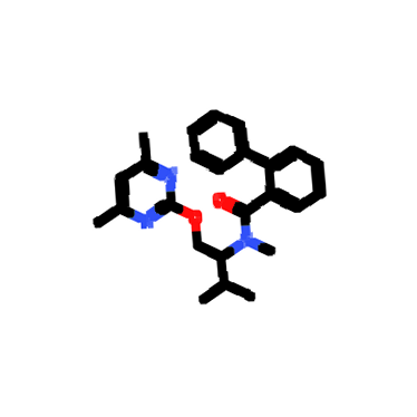 Cc1cc(C)nc(OCC(C(C)C)N(C)C(=O)c2ccccc2-c2ccccc2)n1